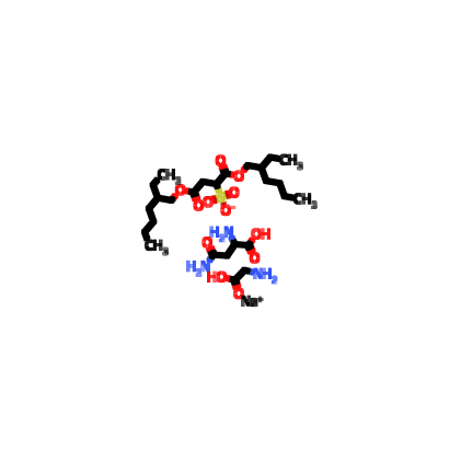 CCCCC(CC)COC(=O)CC(C(=O)OCC(CC)CCCC)S(=O)(=O)[O-].NC(=O)CC(N)C(=O)O.NCC(=O)O.[Na+]